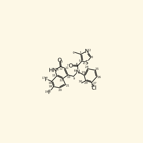 Cc1ncsc1C(=O)N(Cc1cc(=O)[nH]c2c(F)c(F)ccc12)c1cccc(Cl)c1C